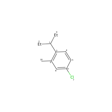 CCC(CC)c1ccc(Cl)cc1C